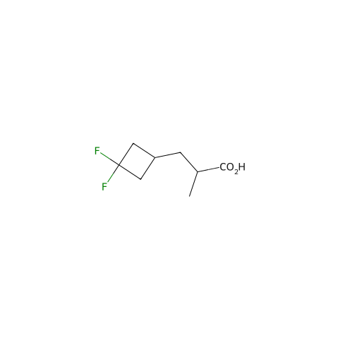 CC(CC1CC(F)(F)C1)C(=O)O